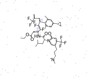 C=C(/C=C(\C(F)=C(/F)[C@H](CC(=O)OCC)NC(=O)C(CC(C)C)n1cc(CCCN(C)C)c(C(F)(F)F)cc1=O)c1c(C)cc(C2CC2)cc1C)C(F)(F)F